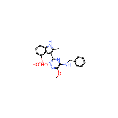 COc1nnc(-c2c(C)[nH]c3cccc(B(O)O)c23)nc1NCc1ccccc1